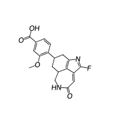 COc1cc(C(=O)O)ccc1C1CC2=C3C(=CC(=O)NCC3C1)C(F)=N2